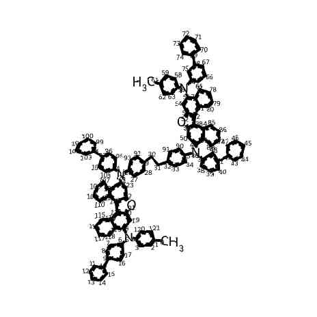 Cc1ccc(N(c2ccc(-c3ccccc3)cc2)c2cc3oc4cc(N(c5ccc(CCc6ccc(N(c7cccc(-c8ccccc8)c7)c7cc8oc9cc(N(c%10ccc(C)cc%10)c%10cccc(-c%11ccccc%11)c%10)c%10ccccc%10c9c8c8ccccc78)cc6)cc5)c5ccc(-c6ccccc6)cc5)c5ccccc5c4c3c3ccccc23)cc1